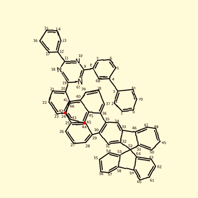 c1ccc(-c2cccc(-c3nc(-c4ccccc4)nc(-c4cccc(-c5cccc(-c6cc7c(cc6-c6cccc8ccccc68)-c6ccccc6C76c7ccccc7-c7ccccc76)c5)c4)n3)c2)cc1